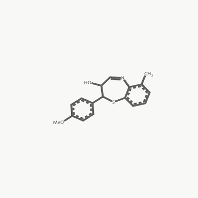 COc1ccc(C2Sc3cccc(C)c3N=CC2O)cc1